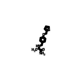 C[C@H](NCc1ccc(OCc2cccs2)cc1)C(N)=O